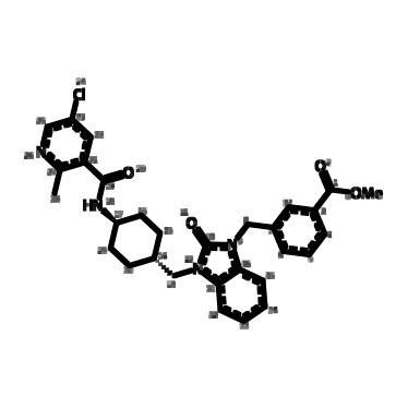 COC(=O)c1cccc(Cn2c(=O)n(C[C@H]3CC[C@H](NC(=O)c4cc(Cl)cnc4C)CC3)c3ccccc32)c1